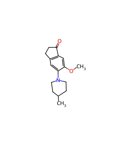 COc1cc2c(cc1N1CCC(C)CC1)CCC2=O